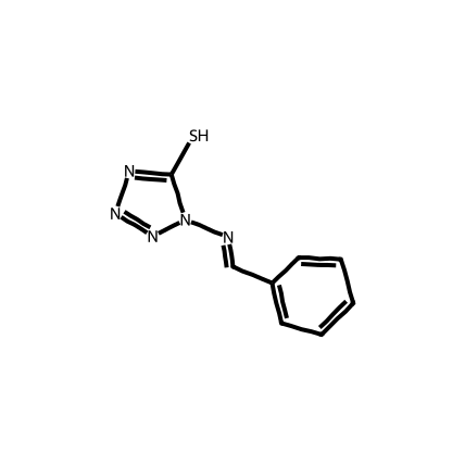 Sc1nnnn1N=Cc1ccccc1